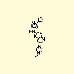 CCN1CCN(c2cnc3ccc(Nc4nnc(C5CCCC5)s4)nc3c2)CC1